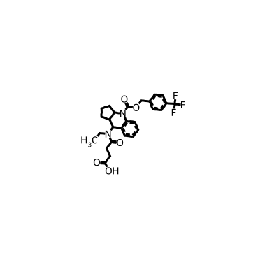 CCN(C(=O)CCC(=O)O)C1c2ccccc2N(C(=O)OCc2ccc(C(F)(F)F)cc2)C2CCCC12